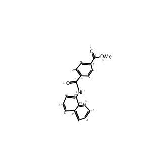 COC(=O)c1ccc(C(=O)Nc2cccc3cccnc23)cc1